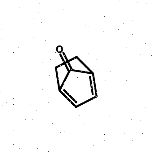 O=C1C2=CC=C1CC2